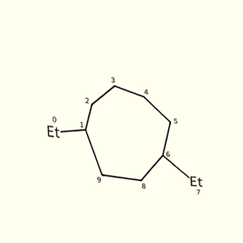 CCC1CCCCC(CC)CC1